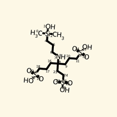 C[Si](C)(O)CCCNC(CCCS(=O)(=O)O)(CCCS(=O)(=O)O)CCS(=O)(=O)O